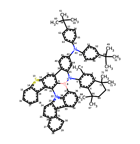 Cc1cc2c(cc1N1B3c4c(cc5sc6ccccc6c5c4-n4c5ccc6ccccc6c5c5cccc3c54)-c3ccc(N(c4ccc(C(C)(C)C)cc4)c4ccc(C(C)(C)C)cc4)cc31)C(C)(C)CCC2(C)C